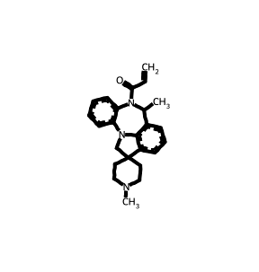 C=CC(=O)N1c2ccccc2N2CC3(CCN(C)CC3)c3cccc(c32)C1C